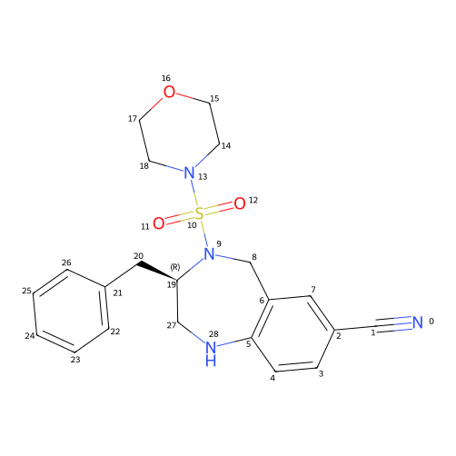 N#Cc1ccc2c(c1)CN(S(=O)(=O)N1CCOCC1)[C@H](Cc1ccccc1)CN2